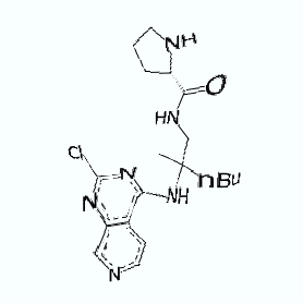 CCCCC(C)(CNC(=O)[C@@H]1CCCN1)Nc1nc(Cl)nc2cnccc12